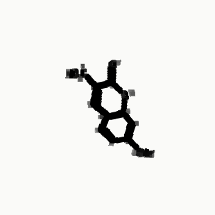 CC(=O)Oc1ccc2cc(C(=O)O)c(=O)oc2c1